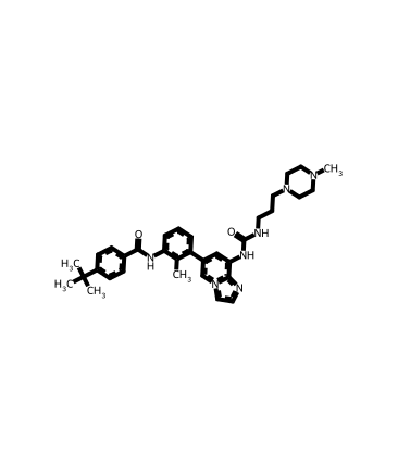 Cc1c(NC(=O)c2ccc(C(C)(C)C)cc2)cccc1-c1cc(NC(=O)NCCCN2CCN(C)CC2)c2nccn2c1